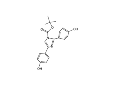 CC(C)(C)OC(=O)n1cc(-c2ccc(O)cc2)nc1-c1ccc(O)cc1